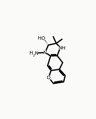 CC1(C)NC2=C(C=C3OC=CC=C3C2)N(N)[C@@H]1O